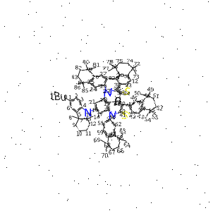 CC(C)(C)c1ccc2c(c1)C1(C)CCCCC1(C)N2c1cc2c3c(c1)N1c4cc5c(cc4-c4c6c(cc7sc(c1c47)B3c1c(sc3cc4c(cc13)C(C)(C)CCC4(C)C)N2c1ccc2c(c1)C(C)(C)CCC2(C)C)C(C)(C)CCC6(C)C)C(C)(C)CCC5(C)C